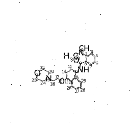 CN(C)c1ccccc1C(=O)Nc1ccc(OCCN2CCOCC2)c2ccccc12